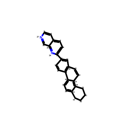 c1cc2ccc(-c3ccc4c(ccc5c6c(ccc54)CCCC6)c3)nc2cn1